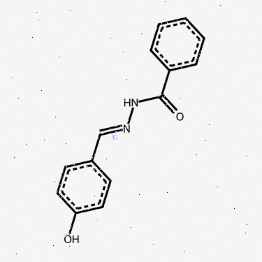 O=C(N/N=C/c1ccc(O)cc1)c1ccccc1